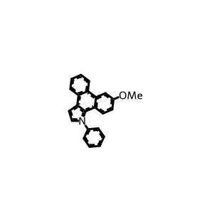 COc1ccc2c(c1)c1ccccc1c1ccn(-c3ccccc3)c12